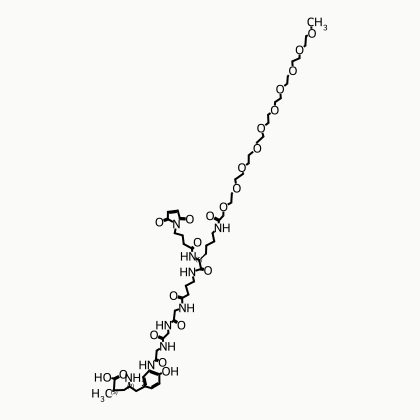 COCCOCCOCCOCCOCCOCCOCCOCCOCCOCC(=O)NCCCC[C@H](NC(=O)CCCN1C(=O)C=CC1=O)C(=O)NCCCC(=O)NCC(=O)NCC(=O)NCC(=O)Nc1cc(C[C@H](N)C[C@H](C)C(=O)O)ccc1O